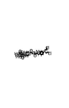 N[C@@H](Cc1ccc(N(CCCl)CCCl)cc1)C(=O)OCC(=O)N1CCN(CCC(O)(P(=O)(O)O)P(=O)(O)O)CC1